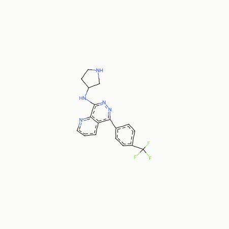 FC(F)(F)c1ccc(-c2nnc(NC3CCNC3)c3ncccc23)cc1